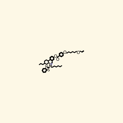 C=CCOCCCCCCOc1ccc(C(=O)Oc2ccc(C3CCC(CCC)CC3)c(/C=N/N(CCCCCC)c3nc4ccccc4s3)c2)cc1